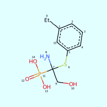 CCc1cccc(SC(N)(CO)P(=O)(O)O)c1